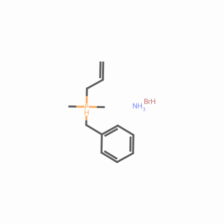 Br.C=CC[PH](C)(C)Cc1ccccc1.N